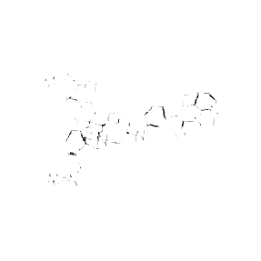 CCC1(C(=O)N(CC(=O)Nc2ccc3c(c2)C2C(=O)Nc4ncccc4[C@H]2C3)Cc2ccccc2CNC)CCN(C(=O)[C@@H](C)NC)CC1